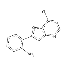 Nc1ccccc1-c1cc2nccc(Cl)c2o1